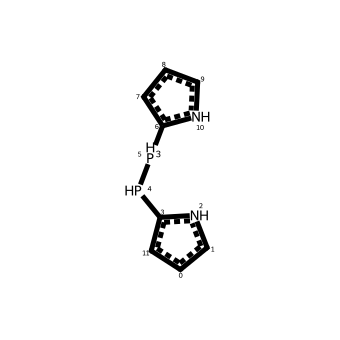 c1c[nH]c(P[PH3]c2ccc[nH]2)c1